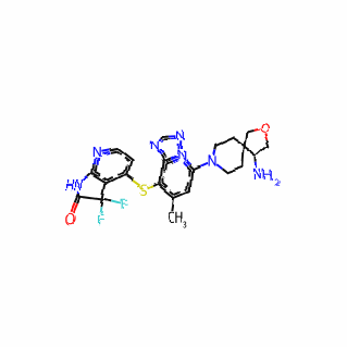 Cc1cc(N2CCC3(CC2)COCC3N)n2ncnc2c1Sc1ccnc2c1C(F)(F)C(=O)N2